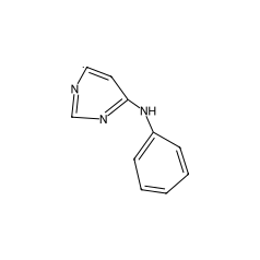 [c]1cc(Nc2ccccc2)ncn1